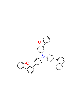 c1ccc2c(-c3ccc(N(c4ccc(-c5cccc6c5oc5ccccc56)cc4)c4ccc5oc6ccccc6c5c4)cc3)cccc2c1